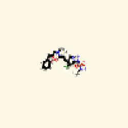 CNS(=O)(=O)Nc1cc(Cl)c(/C=C/C(=O)N(C)Cc2cc3ccccc3o2)cn1